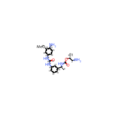 CC[C@H](CN)OC(=O)N[C@@H](C)c1cccc(NC(=O)Nc2ccc(N)c(OC)c2)c1